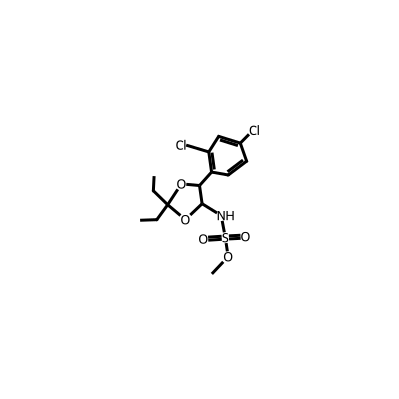 CCC1(CC)OC(NS(=O)(=O)OC)C(c2ccc(Cl)cc2Cl)O1